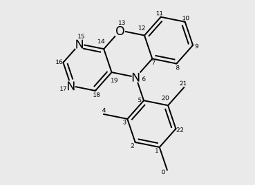 Cc1cc(C)c(N2c3ccccc3Oc3ncncc32)c(C)c1